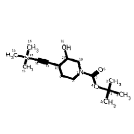 CC(C)(C)OC(=O)N1CCC(C#C[Si](C)(C)C)C(O)C1